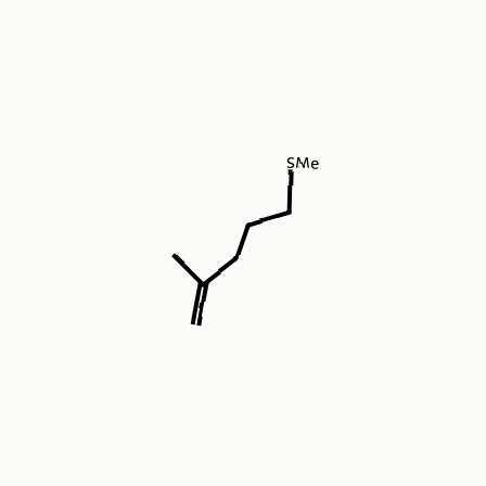 [CH2]SCCCC(=C)C